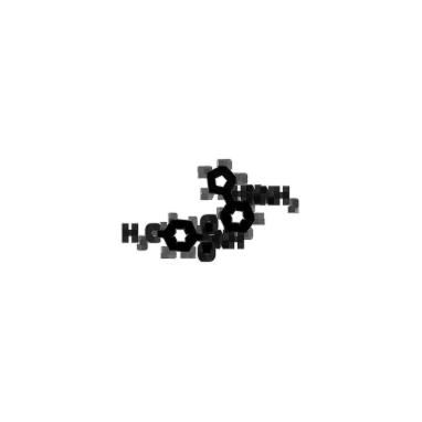 Cc1ccc(S(=O)(=O)Nc2ccc(NN)c(C3CCCC3)c2)cc1